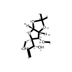 C=C[C@@H](O)[C@@]1(CO)O[C@@H]2OC(C)(C)O[C@@H]2[C@@H]1OC